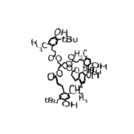 Cc1cc(O)c(C(C)(C)C)cc1CCC(=O)OCC(COC(=O)CCc1cc(C(C)(C)C)c(O)cc1C)(COC(=O)CCc1cc(C(C)(C)C)c(O)cc1C)COC(=O)CCc1cc(C(C)(C)C)c(O)cc1C